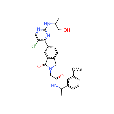 COc1cccc(C(C)NC(=O)CN2Cc3ccc(-c4nc(NC(C)CO)ncc4Cl)cc3C2=O)c1